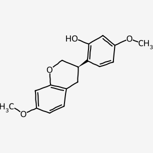 COc1ccc([C@@H]2COc3cc(OC)ccc3C2)c(O)c1